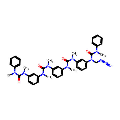 CCN(C(=O)N(C)c1cccc(N(C)C(=O)N(C)c2cccc(N(C)C(=O)N(C)c3cccc(N(CN=[N+]=[N-])C(=O)N(C)c4ccccc4)c3)c2)c1)c1ccccc1